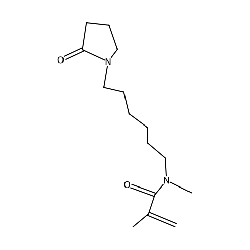 C=C(C)C(=O)N(C)CCCCCCN1CCCC1=O